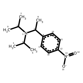 CC(C)N(C(C)C)C(C)c1ccc([N+](=O)[O-])cc1